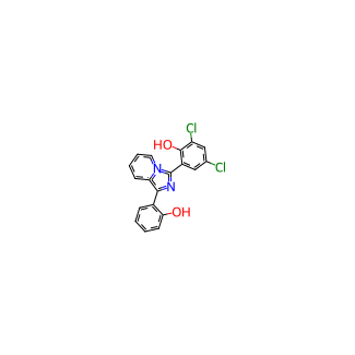 Oc1ccccc1-c1nc(-c2cc(Cl)cc(Cl)c2O)n2ccccc12